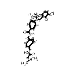 CN(C)CC(=O)NCc1ccc(CNC(=O)c2ccc(N(Cc3cccc(Cl)c3Cl)S(C)(=O)=O)cc2)cc1